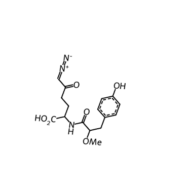 COC(Cc1ccc(O)cc1)C(=O)NC(CCC(=O)C=[N+]=[N-])C(=O)O